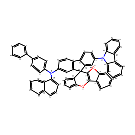 c1ccc(-c2ccc(N(c3ccc4c(c3)C3(c5ccccc5Oc5c3oc3ccccc53)c3cc(-n5c6ccccc6c6ccccc65)ccc3-4)c3cccc4ccccc34)cc2)cc1